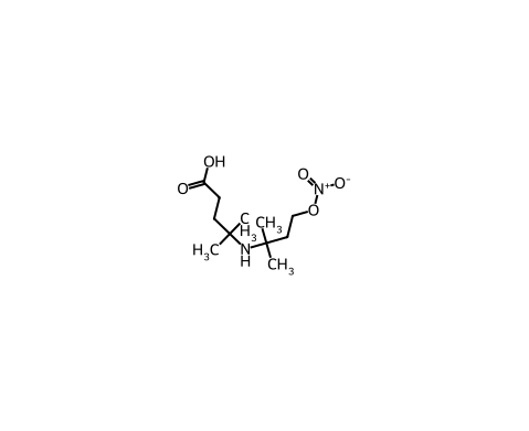 CC(C)(CCO[N+](=O)[O-])NC(C)(C)CCC(=O)O